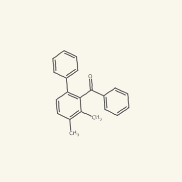 Cc1ccc(-c2ccccc2)c(C(=O)c2ccccc2)c1C